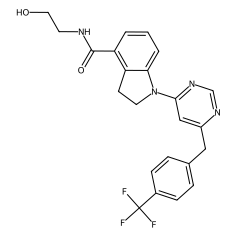 O=C(NCCO)c1cccc2c1CCN2c1cc(Cc2ccc(C(F)(F)F)cc2)ncn1